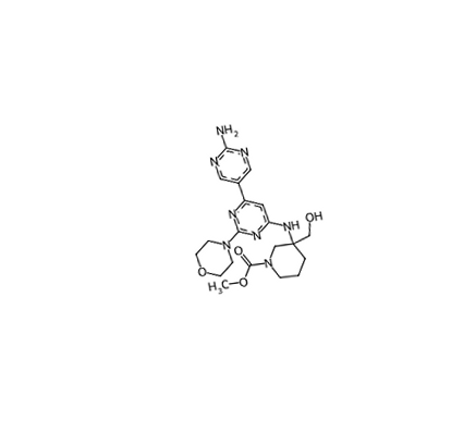 COC(=O)N1CCCC(CO)(Nc2cc(-c3cnc(N)nc3)nc(N3CCOCC3)n2)C1